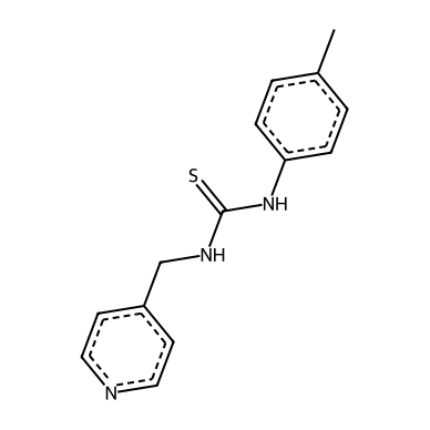 Cc1ccc(NC(=S)NCc2ccncc2)cc1